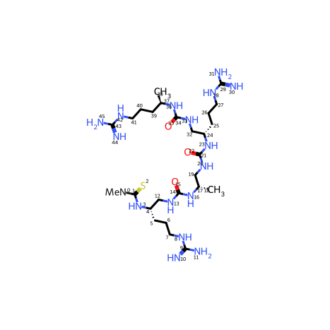 CNC(=S)N[C@@H](CCCNC(=N)N)CNC(=O)N[C@@H](C)CNC(=O)N[C@@H](CCCNC(=N)N)CNC(=O)N[C@H](C)CCCNC(=N)N